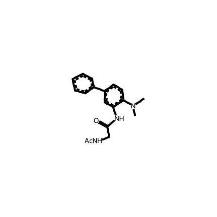 CC(=O)NCC(=O)Nc1cc(-c2ccccc2)ccc1N(C)C